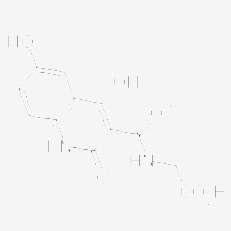 O=C(O)CNC(=O)c1c(O)c2cc(O)ccc2[nH]c1=O